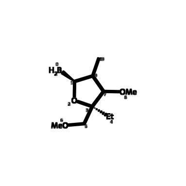 B[C@@H]1O[C@](CC)(COC)C(OC)C1C